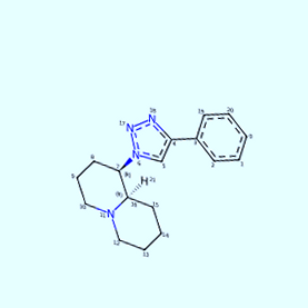 c1ccc(-c2cn([C@@H]3CCCN4CCCC[C@H]34)nn2)cc1